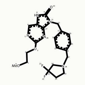 COCCOc1ncc2[nH]c(=O)n(Cc3ccc(CN4CCC(F)(F)C4)cc3)c2n1